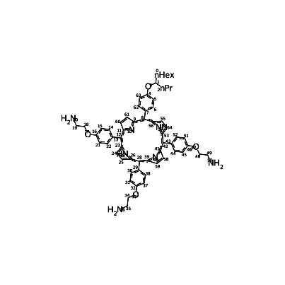 CCCCCCC(CCC)Oc1ccc(-c2c3nc(c(-c4ccc(OCCN)cc4)c4ccc([nH]4)c(-c4ccc(OCCN)cc4)c4nc(c(-c5ccc(OCCN)cc5)c5ccc2[nH]5)C=C4)C=C3)cc1